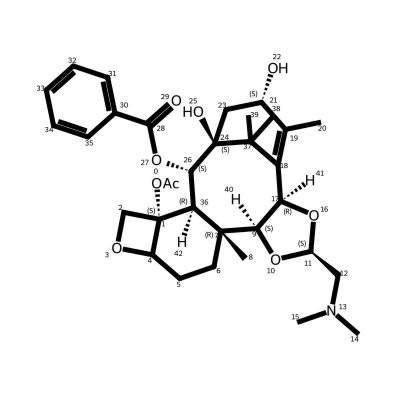 CC(=O)O[C@@]12COC1CC[C@@]1(C)[C@@H]3O[C@H](CN(C)C)O[C@@H]3C3=C(C)[C@@H](O)C[C@@](O)([C@@H](OC(=O)c4ccccc4)[C@@H]12)C3(C)C